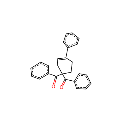 O=C(c1ccccc1)C1(C(=O)c2ccccc2)CC=C(c2ccccc2)CC1